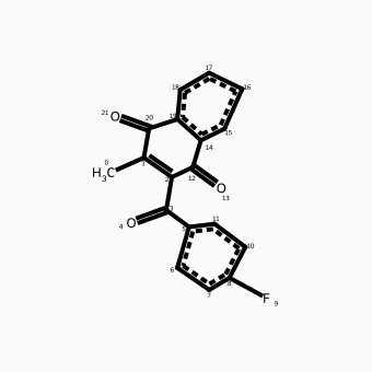 CC1=C(C(=O)c2ccc(F)cc2)C(=O)c2ccccc2C1=O